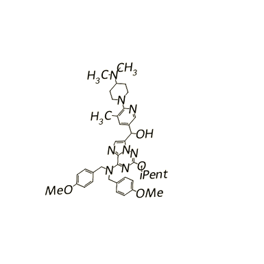 CCC[C@H](C)Oc1nc(N(Cc2ccc(OC)cc2)Cc2ccc(OC)cc2)c2ncc(C(O)c3cnc(N4CCC(N(C)C)CC4)c(C)c3)n2n1